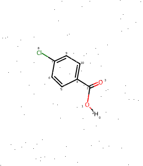 [2H]OC(=O)c1ccc(Cl)cc1